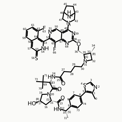 Cc1ncsc1-c1ccc([C@H](C)NC(=O)[C@@H]2C[C@@H](O)CN2C(=O)[C@@H](NC(=O)CCCCN2C[C@@H](C)[C@H]2COc2nc(N3CC4CCC(C3)N4)c3cnc(-c4[nH]c(=S)cc5cccc(F)c45)c(F)c3n2)C(C)(C)C)cc1